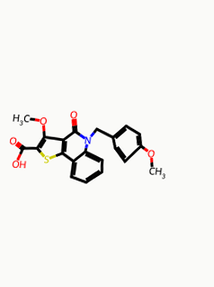 COc1ccc(Cn2c(=O)c3c(OC)c(C(=O)O)sc3c3ccccc32)cc1